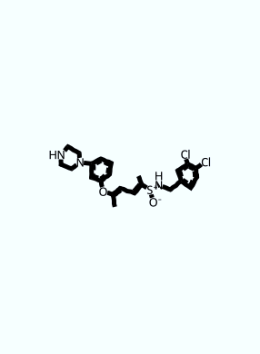 C/C(=C\C=C(/C)[S+]([O-])NCc1ccc(Cl)c(Cl)c1)Oc1cccc(N2CCNCC2)c1